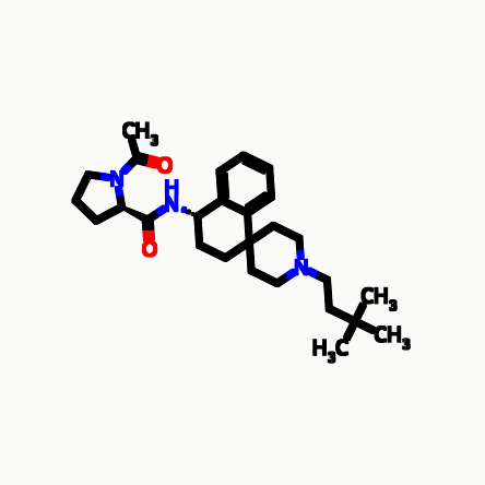 CC(=O)N1CCC[C@@H]1C(=O)N[C@H]1CCC2(CCN(CCC(C)(C)C)CC2)c2ccccc21